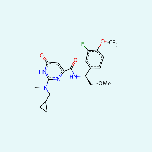 COC[C@@H](NC(=O)c1cc(=O)[nH]c(N(C)CC2CC2)n1)c1ccc(OC(F)(F)F)c(F)c1